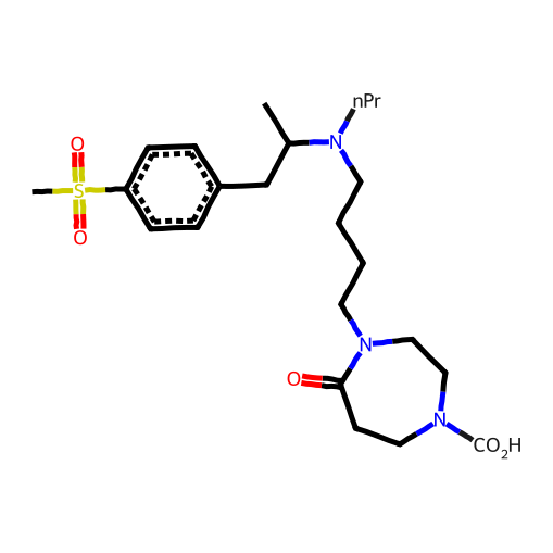 CCCN(CCCCN1CCN(C(=O)O)CCC1=O)C(C)Cc1ccc(S(C)(=O)=O)cc1